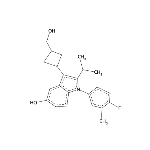 Cc1cc(-n2c(C(C)C)c(C3CC(CO)C3)c3cc(O)ccc32)ccc1F